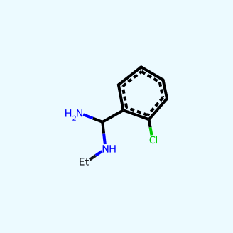 CCNC(N)c1ccccc1Cl